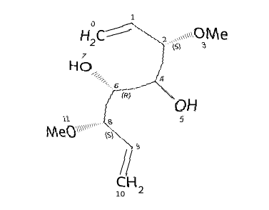 C=C[C@H](OC)C(O)[C@@H](O)[C@H](C=C)OC